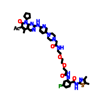 CC(=O)c1c(C)c2cnc(Nc3ccc(N4CCN(CC(=O)NCCOCCOCCC(=O)Nc5cc(F)ccc5C(=O)Nc5nc(C)c(C)s5)CC4)cn3)nc2n(C2CCCC2)c1=O